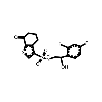 O=C1CCCc2c(S(=O)(=O)NCC(O)c3ccc(F)cc3F)csc21